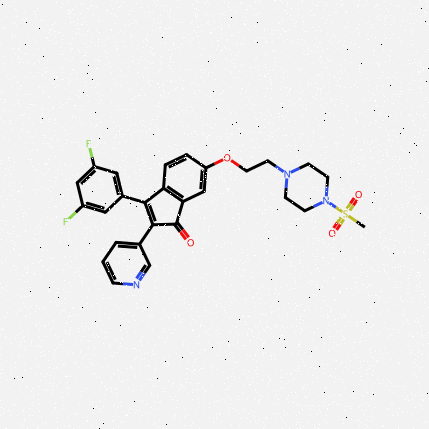 CS(=O)(=O)N1CCN(CCOc2ccc3c(c2)C(=O)C(c2cccnc2)=C3c2cc(F)cc(F)c2)CC1